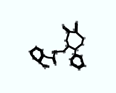 COc1ccccc1C(=O)NCC1CC(=O)C(=O)CCC1c1ccccc1